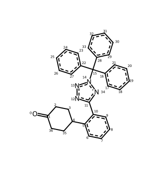 O=C1CCC(c2ccccc2-c2nnn(C(c3ccccc3)(c3ccccc3)c3ccccc3)n2)CC1